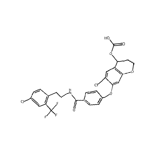 O=C(O)OC1CCOc2cc(Oc3ccc(C(=O)NCCc4ccc(Cl)cc4C(F)(F)F)cc3)c(Cl)cc21